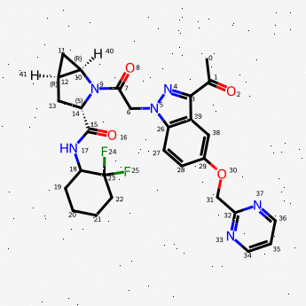 CC(=O)c1nn(CC(=O)N2[C@@H]3C[C@@H]3C[C@H]2C(=O)NC2CCCCC2(F)F)c2ccc(OCc3ncccn3)cc12